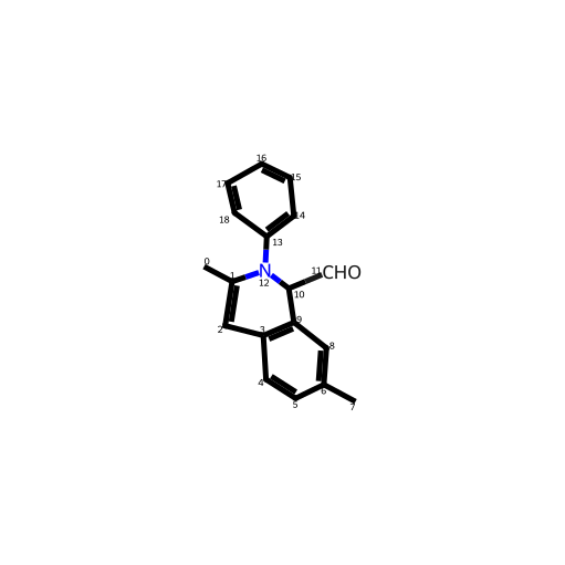 CC1=Cc2ccc(C)cc2C(C=O)N1c1ccccc1